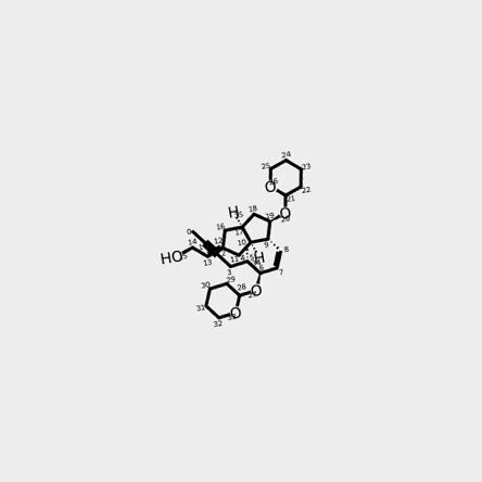 CC#CC[C@H](C)[C@@H](/C=C\[C@@H]1[C@H]2CC(=CCO)C[C@H]2C[C@H]1OC1CCCCO1)OC1CCCCO1